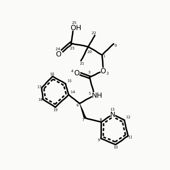 CC(OC(=O)N[C@@H](Cc1ccccn1)c1ccccc1)C(C)(C)C(=O)O